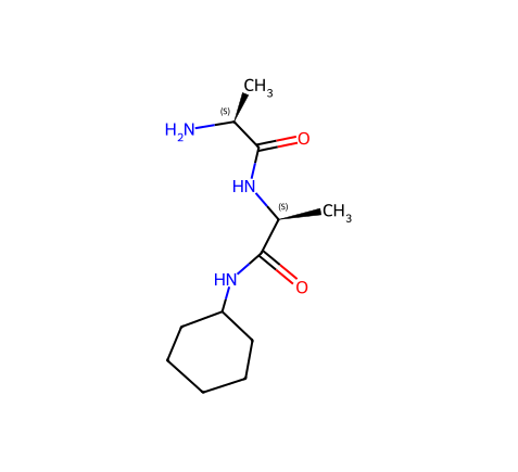 C[C@H](N)C(=O)N[C@@H](C)C(=O)NC1CCCCC1